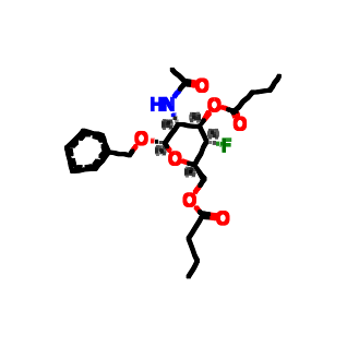 CCCC(=O)OC[C@H]1O[C@H](OCc2ccccc2)[C@H](NC(C)=O)[C@@H](OC(=O)CCC)[C@@H]1F